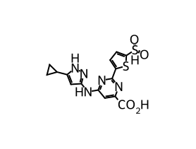 O=C(O)c1cc(Nc2cc(C3CC3)[nH]n2)nc(-c2ccc([SH](=O)=O)s2)n1